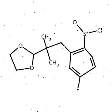 CC(C)(Cc1cc(F)ccc1[S+]([O-])Cl)C1OCCO1